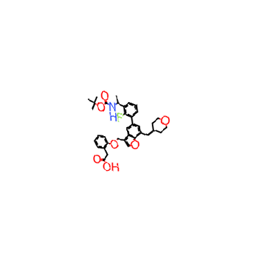 CC(NC(=O)OC(C)(C)C)c1cccc(-c2cc(CC3CCOCC3)c3occ(COc4ccccc4CC(=O)O)c3c2)c1F